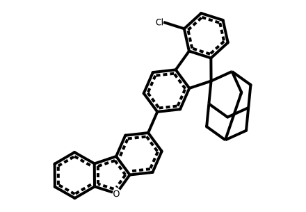 Clc1cccc2c1-c1ccc(-c3ccc4oc5ccccc5c4c3)cc1C21C2CC3CC(C2)CC1C3